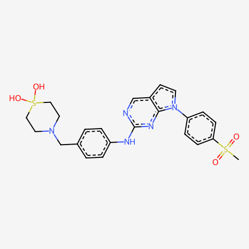 CS(=O)(=O)c1ccc(-n2ccc3cnc(Nc4ccc(CN5CCS(O)(O)CC5)cc4)nc32)cc1